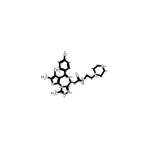 Cc1sc2c(c1C)C(c1ccc(Cl)cc1)=N[C@@H](CC(=O)NCCN1CCOCC1)c1nnc(C)n1-2